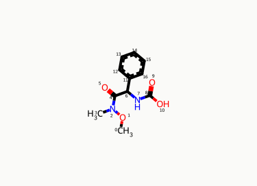 CON(C)C(=O)C(NC(=O)O)c1ccccc1